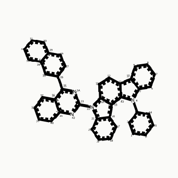 c1ccc(-n2c3ccccc3c3ccc4c(c5ccccc5n4-c4nc(-c5ccc6ccccc6c5)c5ccccc5n4)c32)cc1